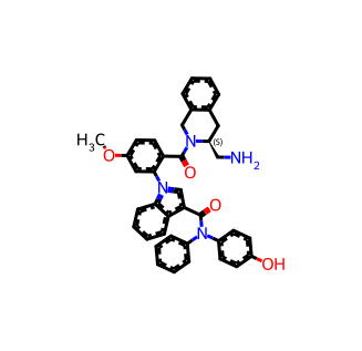 COc1ccc(C(=O)N2Cc3ccccc3C[C@H]2CN)c(-n2cc(C(=O)N(c3ccccc3)c3ccc(O)cc3)c3ccccc32)c1